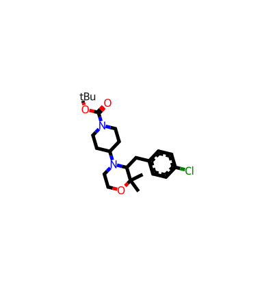 CC(C)(C)OC(=O)N1CCC(N2CCOC(C)(C)C2Cc2ccc(Cl)cc2)CC1